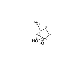 C#CC1CCCP(=O)(O)O1